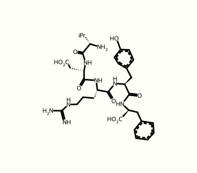 CC(C)[C@H](N)C(=O)N[C@@H](CC(=O)O)C(=O)N[C@@H](CCCNC(=N)N)C(=O)N[C@@H](Cc1ccc(O)cc1)C(=O)N[C@@H](Cc1ccccc1)C(=O)O